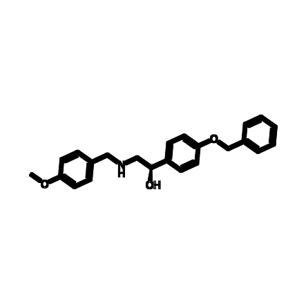 COc1ccc(CNC[C@H](O)c2ccc(OCc3ccccc3)cc2)cc1